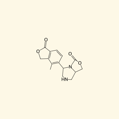 Cc1c(C2CNCC3COC(=O)N32)ccc2c1COC2=O